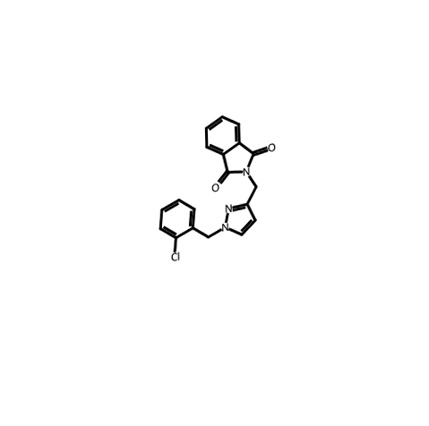 O=C1c2ccccc2C(=O)N1Cc1ccn(Cc2ccccc2Cl)n1